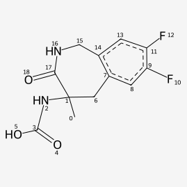 CC1(NC(=O)O)Cc2cc(F)c(F)cc2CNC1=O